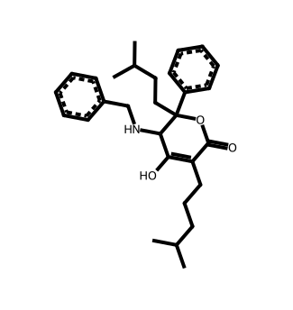 CC(C)CCCC1=C(O)C(NCc2ccccc2)C(CCC(C)C)(c2ccccc2)OC1=O